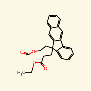 CCOC(=O)CCC1(CCOC=O)c2ccccc2-c2cc3ccccc3cc21